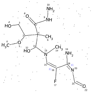 COC(CO)C(C)(C(=O)NN)C(O)N(C)/C=C(F)\C(N)=N/C=O